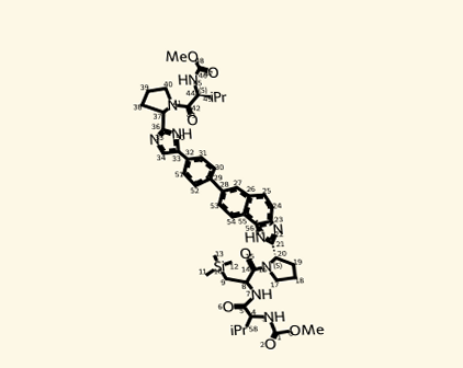 COC(=O)NC(C(=O)NC(C[Si](C)(C)C)C(=O)N1CCC[C@H]1c1nc2ccc3cc(-c4ccc(-c5cnc(C6CCCN6C(=O)[C@@H](NC(=O)OC)C(C)C)[nH]5)cc4)ccc3c2[nH]1)C(C)C